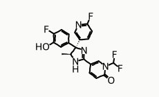 C[C@@H]1NC(c2ccc(=O)n(C(F)F)c2)=N[C@]1(c1ccc(F)nc1)c1ccc(F)c(O)c1